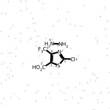 NN.O=C(O)c1sc(Cl)nc1C(F)(F)F